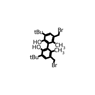 Cc1c(CBr)cc(C(C)(C)C)c(O)c1-c1c(C)c(CBr)cc(C(C)(C)C)c1O